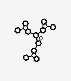 c1ccc(C2c3ccccc3-c3cc(-c4ccc5oc6c(-c7ccc8c(c7)-c7ccccc7C8c7ccccc7)cc(-c7ccc8c(c7)-c7ccccc7C8c7ccccc7)cc6c5c4)ccc32)cc1